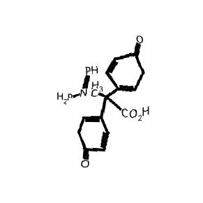 CC(C(=O)O)(C1=CCC(=O)C=C1)C1=CCC(=O)C=C1.P=NP